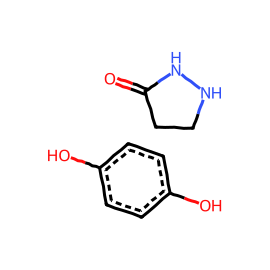 O=C1CCNN1.Oc1ccc(O)cc1